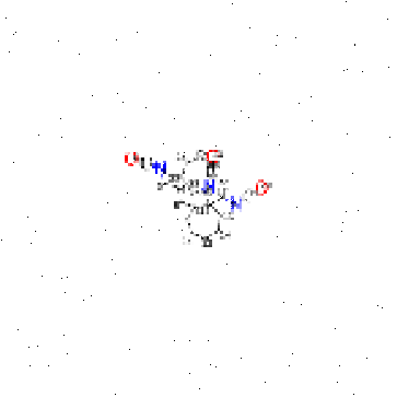 O=C=NCCCC1(CN=C=O)CCCCCC1(CN=C=O)C1CCCCCC1